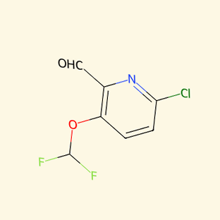 O=Cc1nc(Cl)ccc1OC(F)F